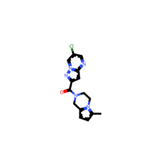 Cc1ccc2n1CCN(C(=O)c1cc3ncc(Cl)cn3n1)C2